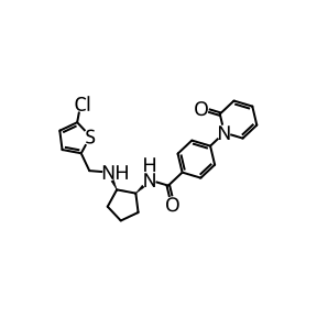 O=C(N[C@H]1CCC[C@H]1NCc1ccc(Cl)s1)c1ccc(-n2ccccc2=O)cc1